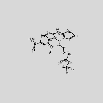 COc1cc(C(N)=O)cc2nc(Nc3ccccn3)n(CCCCNC(=O)OC(C)(C)C)c12